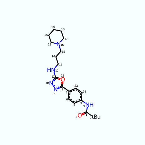 CC(C)(C)C(=O)Nc1ccc(-c2nnc(NCCCN3CCCCC3)o2)cc1